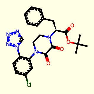 CC(C)(C)OC(=O)[C@H](Cc1ccccc1)N1CCN(c2cc(Cl)ccc2-n2cnnn2)C(=O)C1=O